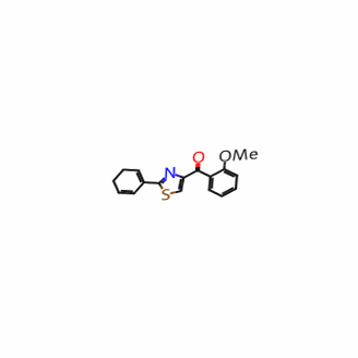 COc1ccccc1C(=O)c1csc(C2=CCCC=C2)n1